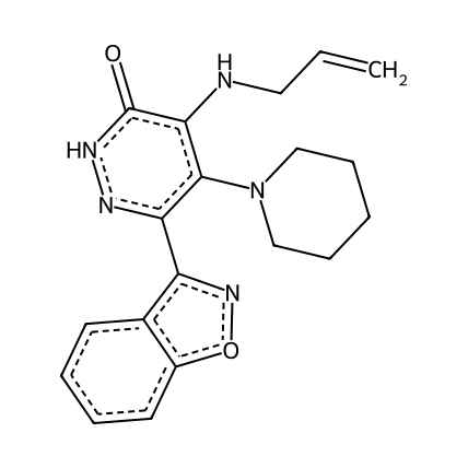 C=CCNc1c(N2CCCCC2)c(-c2noc3ccccc23)n[nH]c1=O